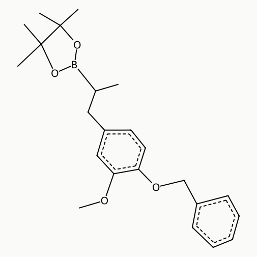 COc1cc(CC(C)B2OC(C)(C)C(C)(C)O2)ccc1OCc1ccccc1